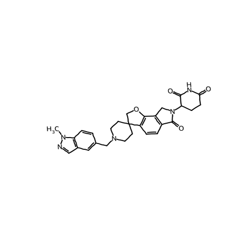 Cn1ncc2cc(CN3CCC4(CC3)COc3c4ccc4c3CN(C3CCC(=O)NC3=O)C4=O)ccc21